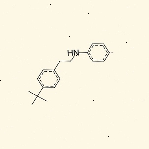 CC(C)(C)c1ccc(CCNc2cc[c]cc2)cc1